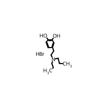 Br.CCCN(CCC)CCc1ccc(O)c(O)c1